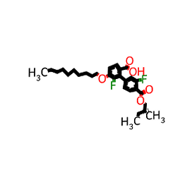 CCCCCCCCCCOc1ccc(C(=O)O)c(-c2ccc(C(=O)OC[C@@H](C)CC)c(F)c2)c1F